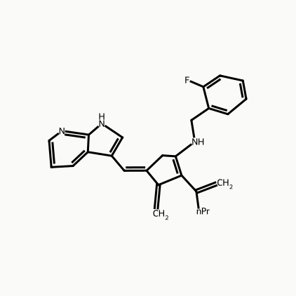 C=C(CCC)C1=C(NCc2ccccc2F)C/C(=C\c2c[nH]c3ncccc23)C1=C